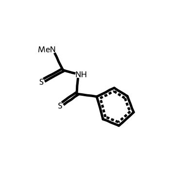 CNC(=S)NC(=S)c1ccccc1